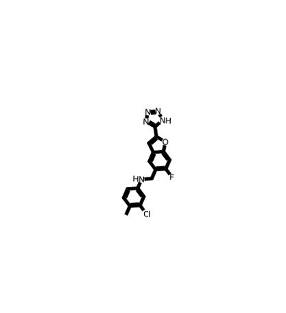 Cc1ccc(NCc2cc3cc(-c4nnn[nH]4)oc3cc2F)cc1Cl